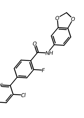 O=C(Nc1ccc2c(c1)OCO2)c1ccc(-c2ncccc2Cl)cc1F